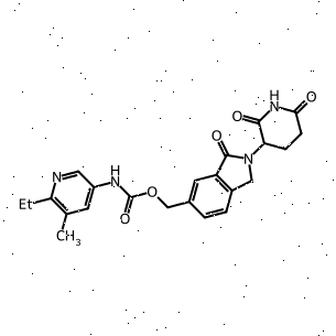 CCc1ncc(NC(=O)OCc2ccc3c(c2)C(=O)N(C2CCC(=O)NC2=O)C3)cc1C